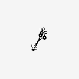 COC(=O)C(Cc1ccc(OCCCCCCNC(=O)OC(C)(C)C)cc1)N(C=O)OCc1ccccc1